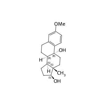 COc1ccc2c(c1)CC[C@@H]1[C@@H]3CC[C@H](O)[C@@]3(C)CC[C@]21O